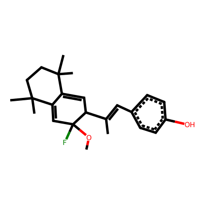 COC1(F)C=C2C(=CC1C(C)=Cc1ccc(O)cc1)C(C)(C)CCC2(C)C